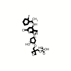 C[C@H](Nc1cc(Cl)nc2c1cnn2[C@@H]1C[C@H](OCC2(COP(=O)(O)O)COC2)[C@@H](O)C1)c1ccccc1F